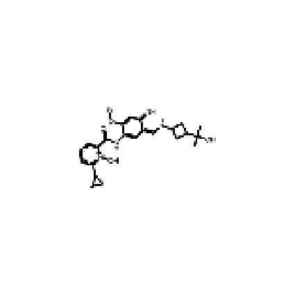 CCOC1=CC(=N)/C(=C\NC2CC(C(C)(C)O)C2)C=C1NC(=O)c1cccc(C2CC2)[n+]1O